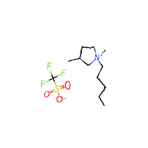 CCCCC[N+]1(C)CCC(C)C1.O=S(=O)([O-])C(F)(F)F